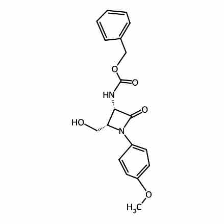 COc1ccc(N2C(=O)[C@@H](NC(=O)OCc3ccccc3)[C@H]2CO)cc1